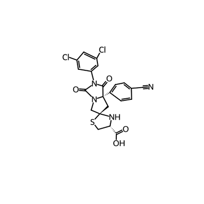 N#Cc1ccc([C@]23C[C@@]4(CN2C(=O)N(c2cc(Cl)cc(Cl)c2)C3=O)N[C@H](C(=O)O)CS4)cc1